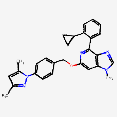 Cc1cc(C(F)(F)F)nn1-c1ccc(COc2cc3c(ncn3C)c(-c3ccccc3C3CC3)n2)cc1